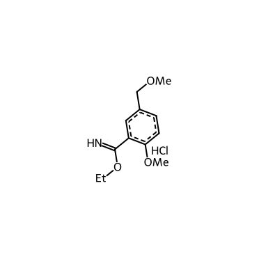 CCOC(=N)c1cc(COC)ccc1OC.Cl